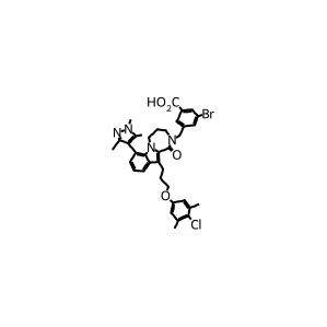 Cc1cc(OCCCc2c3n(c4c(-c5c(C)nn(C)c5C)cccc24)CCCN(Cc2cc(Br)cc(C(=O)O)c2)C3=O)cc(C)c1Cl